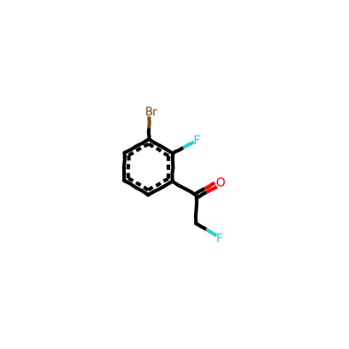 O=C(CF)c1cccc(Br)c1F